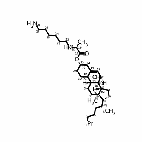 CC(C)CCC[C@@H](C)[C@H]1CC[C@H]2[C@@H]3CC=C4C[C@@H](OC(=O)[C@H](C)NCCCCCCN)CC[C@]4(C)[C@H]3CC[C@]12C